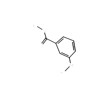 CC(C)NC(=O)c1cccc(NC=O)c1